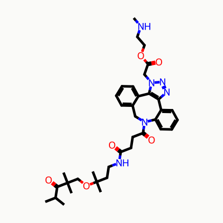 CNCCOC(=O)Cn1nnc2c1-c1ccccc1CN(C(=O)CCC(=O)NCCC(C)(C)OCC(C)(C)C(=O)C(C)C)c1ccccc1-2